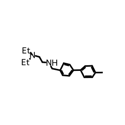 CCN(CC)CCNCc1ccc(-c2ccc(C)cc2)cc1